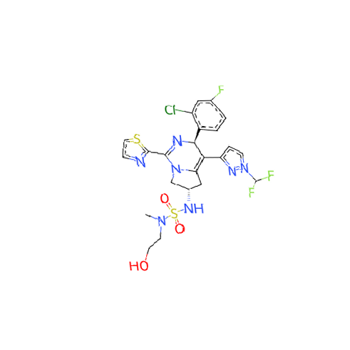 CN(CCO)S(=O)(=O)N[C@H]1CC2=C(c3ccn(C(F)F)n3)[C@H](c3ccc(F)cc3Cl)N=C(c3nccs3)N2C1